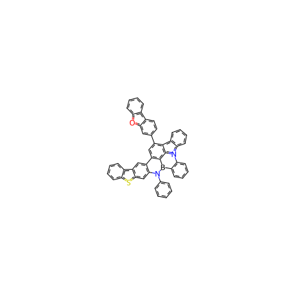 c1ccc(N2B3c4ccccc4-n4c5ccccc5c5c(-c6ccc7c(c6)oc6ccccc67)cc(c3c54)-c3cc4c(cc32)sc2ccccc24)cc1